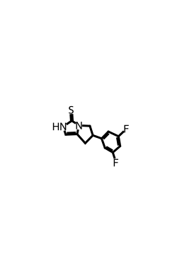 Fc1cc(F)cc(C2Cc3c[nH]c(=S)n3C2)c1